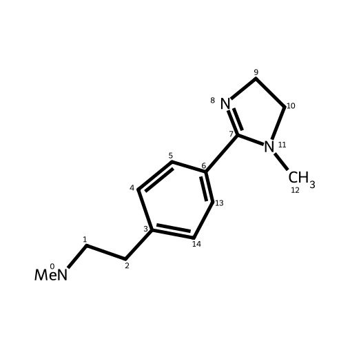 CNCCc1ccc(C2=NCCN2C)cc1